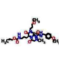 C=CCOC(=O)NCCC[C@H]1C(=O)N(CCCOC)C[C@H]2N1C(=O)CN(C)N2C(=O)NCc1ccc(OC)cc1